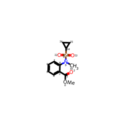 COC(=O)c1ccccc1N(C)S(=O)(=O)C1CC1